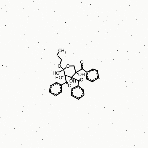 CCCO[C@]1(O)OC[C@](O)(C(=O)c2ccccc2)[C@](O)(C(=O)c2ccccc2)[C@@]1(O)C(=O)c1ccccc1